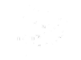 CC1(C)c2ccccc2-c2ccc(N(c3ccccc3-c3ccc4ccccc4c3)c3c4nc(-c5ccccc5)oc4cc4oc5ccccc5c34)cc21